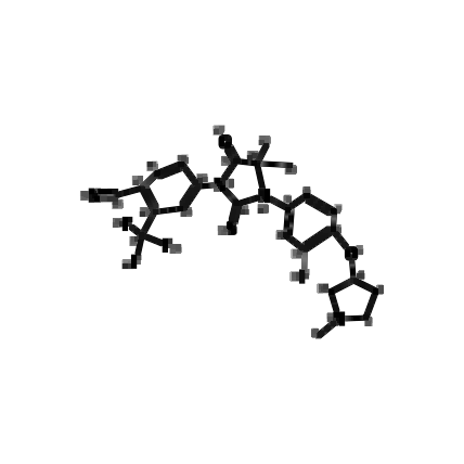 CN1CCC(Oc2ccc(N3C(=S)N(c4ccc(C#N)c(C(F)(F)F)c4)C(=O)C3(C)C)cc2F)C1